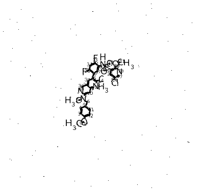 COc1ccc(CN(C)c2cc3nc(C)c(-c4cc(NS(=O)(=O)c5cc(Cl)cnc5OC)c(F)cc4F)cc3cn2)cc1